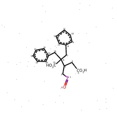 O=PCC(CC(=O)O)C(Cc1ccccc1)(Cc1ccccc1)C(=O)O